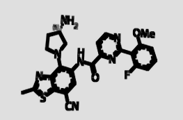 COc1cccc(F)c1-c1nccc(C(=O)Nc2cc(C#N)c3sc(C)nc3c2N2CC[C@H](N)C2)n1